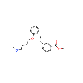 COC(=O)c1cccc(CCc2ccccc2OCCCCN(C)C)c1